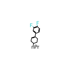 CCCC1CC=C(c2ccc(F)c(F)c2)CC1